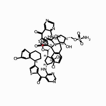 NS(=O)(=O)OC[C@H]1C[C@@H](Nc2ncncc2C(=O)c2cc([C@]3(C(OS(N)(=O)=O)[C@@H]4C[C@@H](Nc5ncncc5C(=O)c5cc([C@@H]6CCCc7ccc(Cl)cc76)cs5)C[C@@H]4O)c4cc(Cl)ccc4CCN3C(=O)O)cs2)C[C@@H]1O